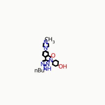 CCCCNc1ncc2c3ccc(N4CCN(C)CC4)cc3c(=O)n([C@H]3CC[C@H](O)CC3)c2n1